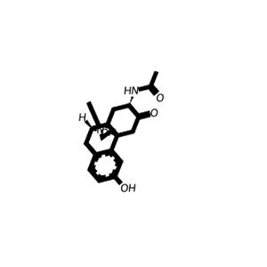 CC(=O)N[C@H]1C[C@@]2(O)[C@H]3Cc4ccc(O)cc4[C@@]2(CCN3C)CC1=O